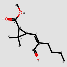 CCCCC(C=O)=CC1C(C(=O)OC)C1(C)C